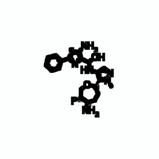 Cn1ncc(NC(O)c2nc(-c3ccccc3)sc2N)c1[C@@H]1CC[C@@H](N)[C@H](F)CO1